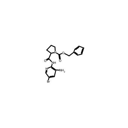 Nc1cc(Br)cnc1NC(=O)C1CCCN1C(=O)OCc1ccccc1